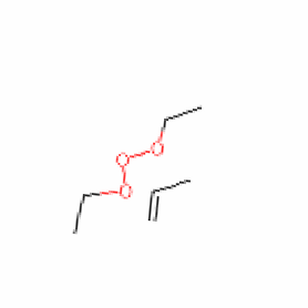 C=CC.CCOOOCC